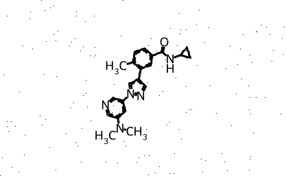 Cc1ccc(C(=O)NC2CC2)cc1-c1cnn(-c2cncc(N(C)C)c2)c1